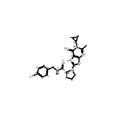 Cc1nc2sc(N3CCC[C@@H]3C(=O)NCc3ccc(F)cc3)nc2c(=O)n1C1CC1